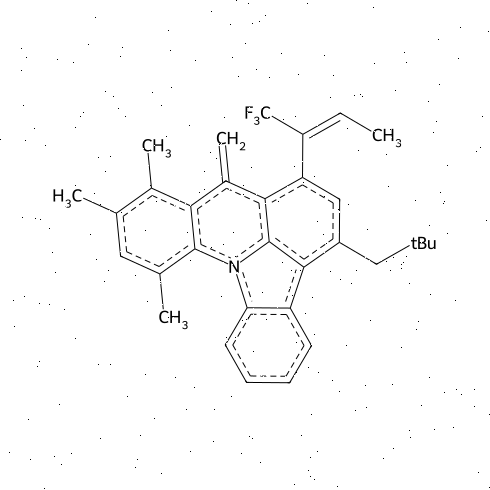 C=c1c2c(C)c(C)cc(C)c2n2c3ccccc3c3c(CC(C)(C)C)cc(/C(=C\C)C(F)(F)F)c1c32